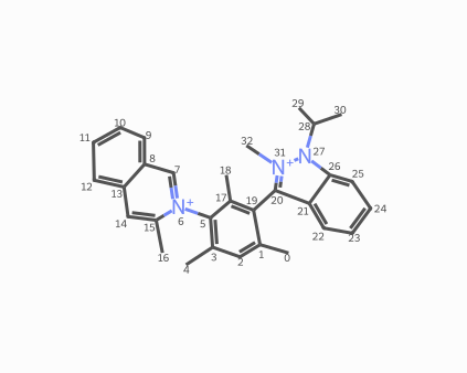 Cc1cc(C)c(-[n+]2cc3ccccc3cc2C)c(C)c1-c1c2ccccc2n(C(C)C)[n+]1C